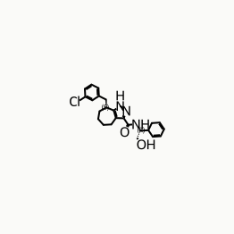 O=C(N[C@@H](CO)C1C=CC=CC1)c1n[nH]c2c1CCCC[C@H]2Cc1cccc(Cl)c1